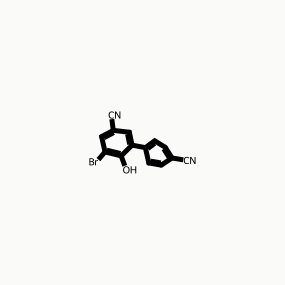 N#Cc1ccc(-c2cc(C#N)cc(Br)c2O)cc1